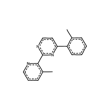 Cc1ccccc1-c1ccnc(-c2ncccc2C)n1